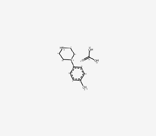 Cc1ccc(N2CCNCC2)cc1.O=C(O)O